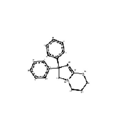 c1ccc(C2(c3ccccc3)CN3CCCSC3=N2)cc1